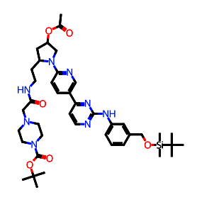 CC(=O)OC1CC(CCNC(=O)CN2CCN(C(=O)OC(C)(C)C)CC2)N(c2ccc(-c3ccnc(Nc4cccc(CO[Si](C)(C)C(C)(C)C)c4)n3)cn2)C1